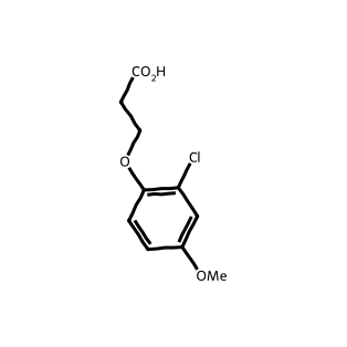 COc1ccc(OCCC(=O)O)c(Cl)c1